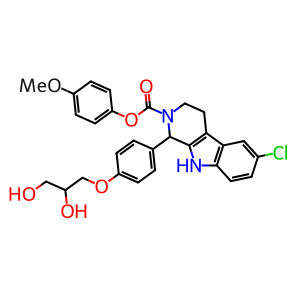 COc1ccc(OC(=O)N2CCc3c([nH]c4ccc(Cl)cc34)C2c2ccc(OCC(O)CO)cc2)cc1